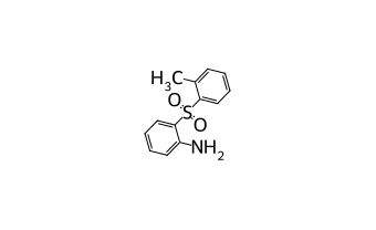 Cc1ccccc1S(=O)(=O)c1ccccc1N